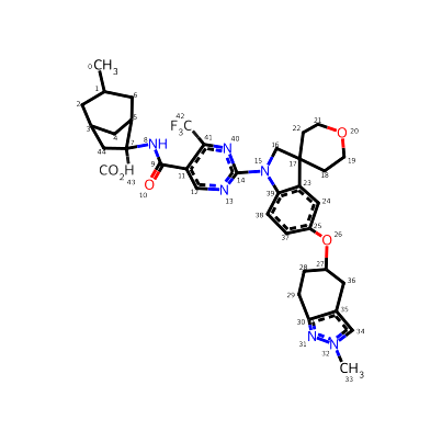 CC1CC2CC(C1)C(NC(=O)c1cnc(N3CC4(CCOCC4)c4cc(OC5CCc6nn(C)cc6C5)ccc43)nc1C(F)(F)F)(C(=O)O)C2